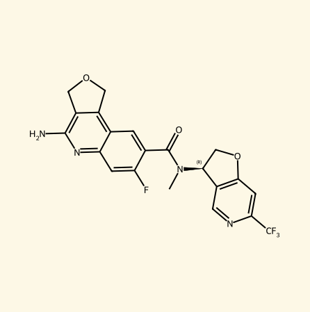 CN(C(=O)c1cc2c3c(c(N)nc2cc1F)COC3)[C@H]1COc2cc(C(F)(F)F)ncc21